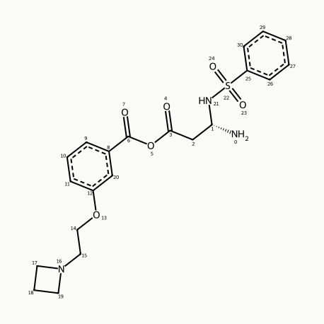 N[C@H](CC(=O)OC(=O)c1cccc(OCCN2CCC2)c1)NS(=O)(=O)c1ccccc1